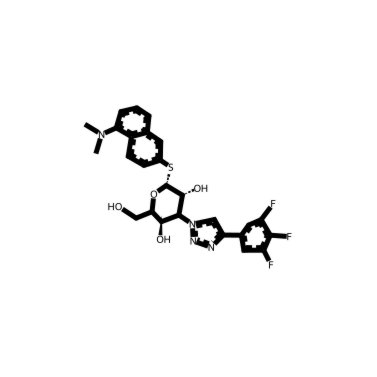 CN(C)c1cccc2cc(S[C@H]3OC(CO)[C@H](O)C(n4cc(-c5cc(F)c(F)c(F)c5)nn4)[C@H]3O)ccc12